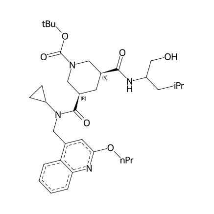 CCCOc1cc(CN(C(=O)[C@@H]2C[C@H](C(=O)NC(CO)CC(C)C)CN(C(=O)OC(C)(C)C)C2)C2CC2)c2ccccc2n1